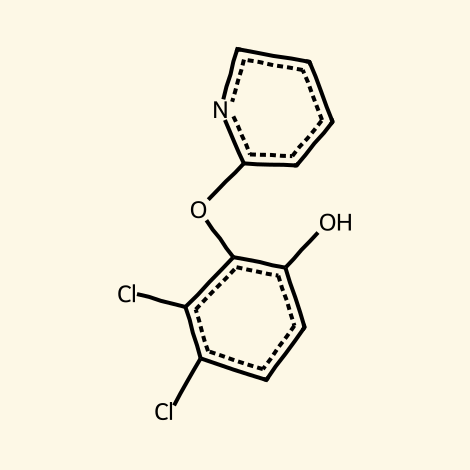 Oc1ccc(Cl)c(Cl)c1Oc1ccccn1